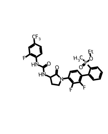 CCOP(C)(=O)c1ccccc1-c1ccc(N2CCC(NC(=O)Nc3ccc(C(F)(F)F)cc3F)C2=O)c(F)c1F